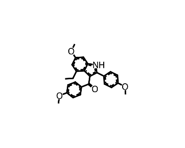 CCc1cc(OC)cc2[nH]c(-c3ccc(OC)cc3)c(C(=O)c3ccc(OC)cc3)c12